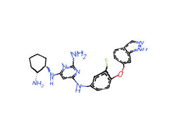 Nc1nc(Nc2ccc(Oc3ccc4cn[nH]c4c3)c(F)c2)cc(N[C@@H]2CCCC[C@H]2N)n1